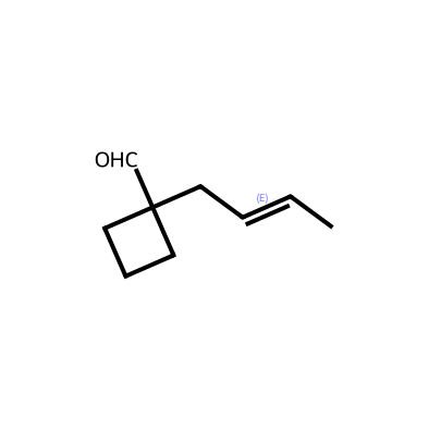 C/C=C/CC1(C=O)CCC1